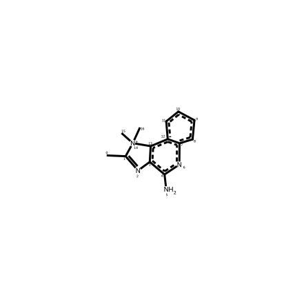 CC1=Nc2c(N)nc3ccccc3c2[N+]1(C)C